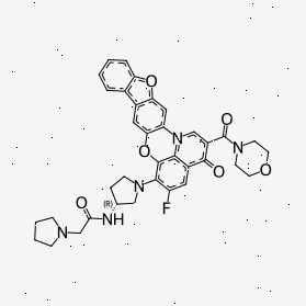 O=C(CN1CCCC1)N[C@@H]1CCN(c2c(F)cc3c(=O)c(C(=O)N4CCOCC4)cn4c3c2Oc2cc3c(cc2-4)oc2ccccc23)C1